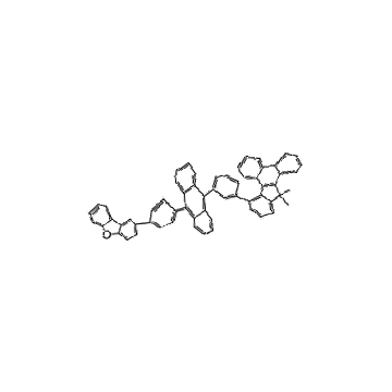 CC1(C)c2cccc(-c3cccc(-c4c5ccccc5c(-c5ccc(-c6ccc7oc8ccccc8c7c6)cc5)c5ccccc45)c3)c2-c2c1c1ccccc1c1ccccc21